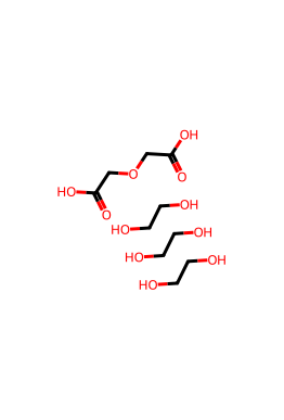 O=C(O)COCC(=O)O.OCCO.OCCO.OCCO